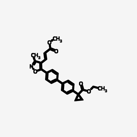 CCOC(=O)C1(c2ccc(-c3ccc(-c4onc(C)c4/C=C/C(=O)OC)cc3)cc2)CC1